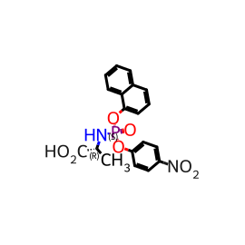 C[C@@H](N[P@](=O)(Oc1ccc([N+](=O)[O-])cc1)Oc1cccc2ccccc12)C(=O)O